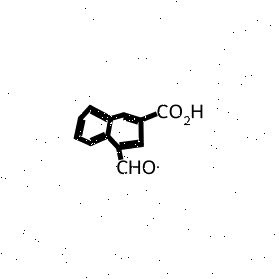 O=[C]c1cc(C(=O)O)cc2ccccc12